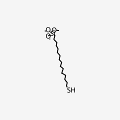 CO[Si](CCCCCCCCCCCCCCCCS)(OC)OC